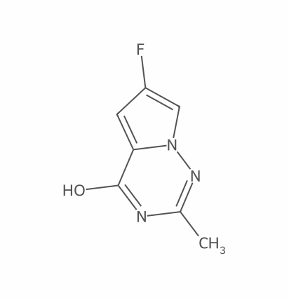 Cc1nc(O)c2cc(F)cn2n1